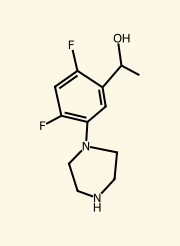 CC(O)c1cc(N2CCNCC2)c(F)cc1F